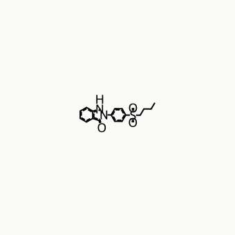 CCCCS(=O)(=O)c1ccc(-n2[nH]c3ccccc3c2=O)cc1